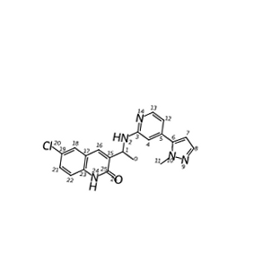 CC(Nc1cc(-c2ccnn2C)ccn1)c1cc2cc(Cl)ccc2[nH]c1=O